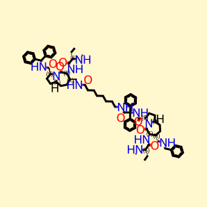 CC[C@H](NC)C(=O)N[C@@H]1C(=O)N2[C@@H](CC[C@@H]1CNC(=O)CCCCCCCNC(=O)C(NC(=O)[C@@H]1CC[C@@H]3CC[C@H](CNCc4ccccc4)[C@H](NC(=O)[C@H](CC)NC)C(=O)N31)(c1ccccc1)c1ccccc1)CC[C@H]2C(=O)NC(c1ccccc1)c1ccccc1